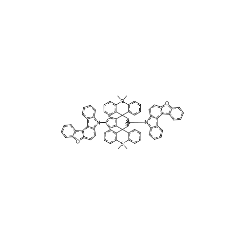 C[Si]1(C)c2ccccc2C2(c3ccccc31)c1cc(-n3c4ccccc4c4c5c(ccc43)oc3ccccc35)sc1C1(c3ccccc3[Si](C)(C)c3ccccc31)c1cc(-n3c4ccccc4c4c5c(ccc43)oc3ccccc35)sc12